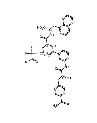 N=C(N)c1ccc(C[C@H](N)C(=O)Nc2cccc(C(=O)N[C@@H](CC(=O)O)C(=O)N[C@@H](Cc3cccc4ccccc34)C(=O)O)c2)cc1.O=C(O)C(F)(F)F